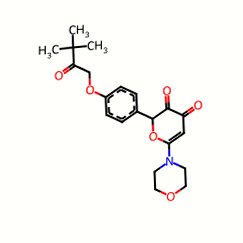 CC(C)(C)C(=O)COc1ccc(C2OC(N3CCOCC3)=CC(=O)C2=O)cc1